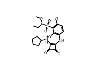 CCN(OC)S(=O)(=O)c1c(Cl)ccc(Nc2c(NC3CCCC3)c(=O)c2=O)c1O